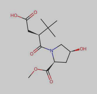 COC(=O)[C@@H]1C[C@H](O)CN1C(=O)[C@@H](CC(=O)O)C(C)(C)C